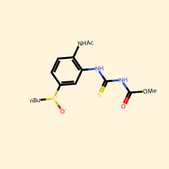 CCCC[S+]([O-])c1ccc(NC(C)=O)c(NC(=S)NC(=O)OC)c1